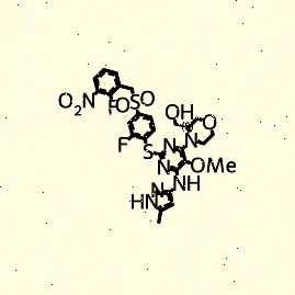 COc1c(Nc2cc(C)[nH]n2)nc(Sc2ccc(S(=O)(=O)Cc3cccc([N+](=O)[O-])c3F)cc2F)nc1N1CCOC[C@@H]1CO